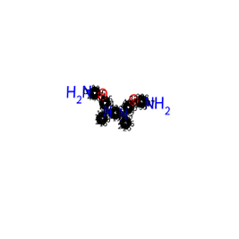 Nc1ccc(Oc2ccc(N(c3ccccc3)c3ccc(N(c4ccccc4)c4ccc(Oc5ccc(N)cc5)cc4)cc3)cc2)cc1